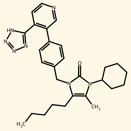 CCCCCc1c(C)n(C2CCCCC2)c(=O)n1Cc1ccc(-c2cnccc2-c2nnn[nH]2)cc1